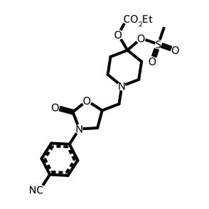 CCOC(=O)OC1(OS(C)(=O)=O)CCN(CC2CN(c3ccc(C#N)cc3)C(=O)O2)CC1